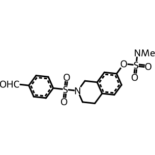 CNS(=O)(=O)Oc1ccc2c(c1)CN(S(=O)(=O)c1ccc(C=O)cc1)CC2